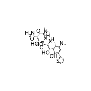 CN(C)c1cc(-c2cccs2)c(O)c2c1C[C@H]1C[C@H]3[C@H](N(C)C)C(=O)C(C(N)=O)=C(O)[C@@]3(O)C(=O)C1=C2O